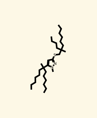 CCCCCCC(C)(CCCC)CSc1cc(C(C)(CCCCCC)CCCCCC)n(C)n1